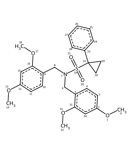 COc1ccc(CN(Cc2ccc(OC)cc2OC)S(=O)(=O)C2(c3ccccc3)CC2)c(OC)c1